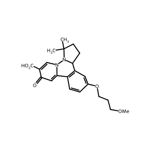 COCCCOc1ccc2c(c1)C1CCC(C)(C)N1n1cc(C(=O)O)c(=O)cc1-2